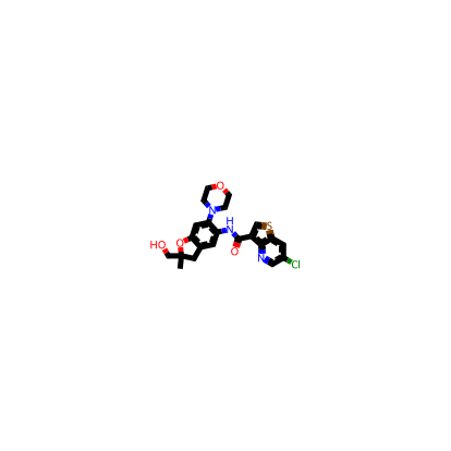 CC1(CO)Cc2cc(NC(=O)c3csc4cc(Cl)cnc34)c(N3CCOCC3)cc2O1